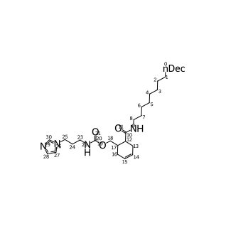 CCCCCCCCCCCCCCCCCCNC(=O)C1CC=CCC1COC(=O)NCCCn1ccnc1